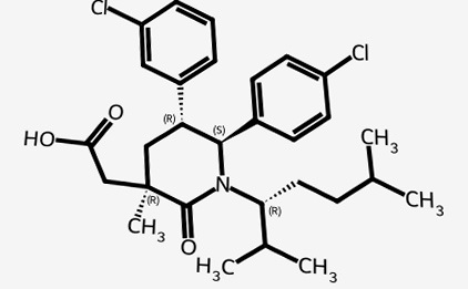 CC(C)CC[C@H](C(C)C)N1C(=O)[C@@](C)(CC(=O)O)C[C@H](c2cccc(Cl)c2)[C@H]1c1ccc(Cl)cc1